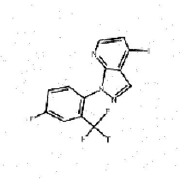 Fc1ccc(-n2ncc3c(I)ccnc32)c(C(F)(F)F)c1